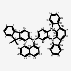 CC1(C)c2ccccc2-c2ccc(N(c3ccc4c(c3)n3c5ccccc5c5ccc6c7ccccc7n4c6c53)c3cccc4ccccc34)cc21